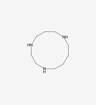 C1CCNCCNCCCNC1